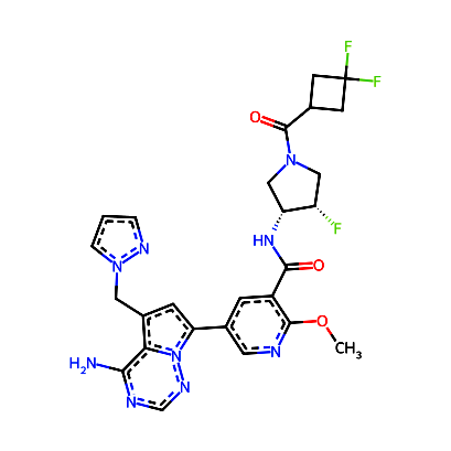 COc1ncc(-c2cc(Cn3cccn3)c3c(N)ncnn23)cc1C(=O)N[C@@H]1CN(C(=O)C2CC(F)(F)C2)C[C@@H]1F